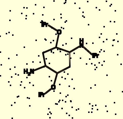 CC(C)NC1CC(OC(C)C)C(N)CC1OC(C)C